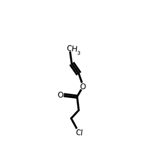 CC#COC(=O)CCCl